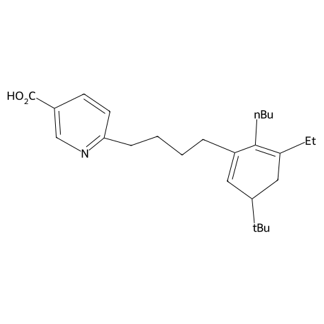 CCCCC1=C(CC)CC(C(C)(C)C)C=C1CCCCc1ccc(C(=O)O)cn1